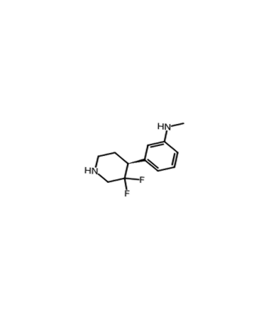 CNc1cccc([C@@H]2CCNCC2(F)F)c1